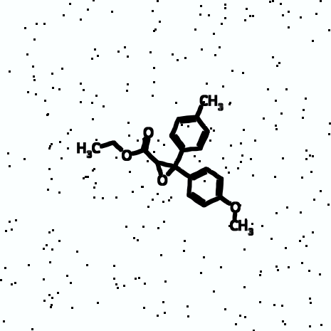 CCOC(=O)C1OC1(c1ccc(C)cc1)c1ccc(OC)cc1